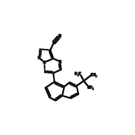 CC(C)(C)c1ccc2cccc(-c3cnc4c(C#N)cnn4c3)c2c1